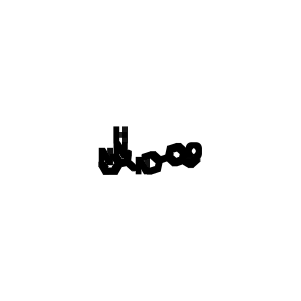 C1=C(c2ccc3occc3c2)CCN(Cc2c[nH]c3ncccc23)C1